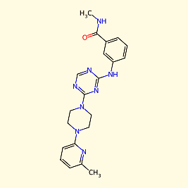 CNC(=O)c1cccc(Nc2ncnc(N3CCN(c4cccc(C)n4)CC3)n2)c1